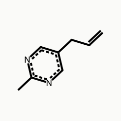 C=CCc1cnc(C)nc1